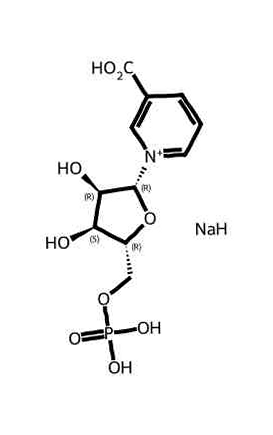 O=C(O)c1ccc[n+]([C@@H]2O[C@H](COP(=O)(O)O)[C@@H](O)[C@H]2O)c1.[NaH]